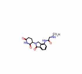 O=C(O)NCC(=O)Nc1cccc2c1CN(C1CCC(=O)NC1=O)C2=O